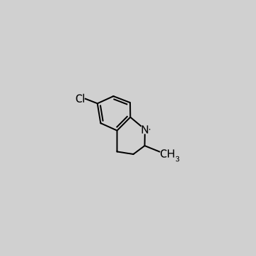 CC1CCc2cc(Cl)ccc2[N]1